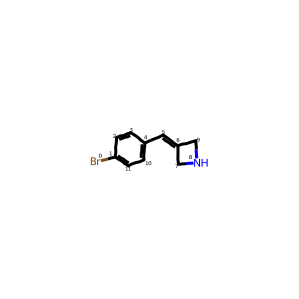 Brc1ccc(C=C2CNC2)cc1